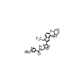 CC(C)(C)n1cc(C(=O)NCc2nc(-c3cc4c(N[C@@H]5CCOC[C@@H]5F)cccc4n3CC(F)(F)F)no2)cn1